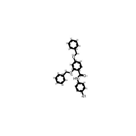 CCc1ccc(NC(=O)c2ccc(OCc3ccccc3)cc2OCc2ccccc2)cc1